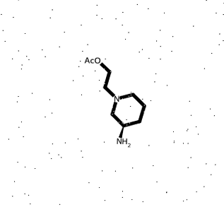 CC(=O)OCCN1CCC[C@@H](N)C1